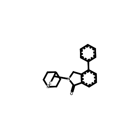 O=C1c2cccc(-c3ccccc3)c2CN1C1CN2CCC1CC2